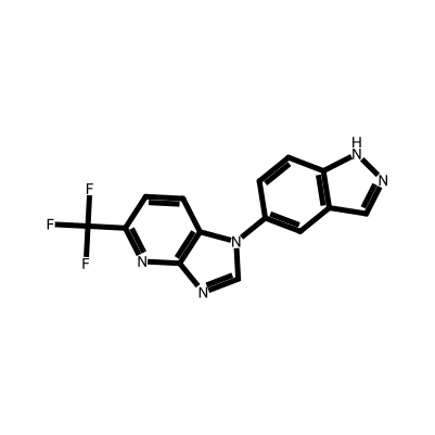 FC(F)(F)c1ccc2c(ncn2-c2ccc3[nH]ncc3c2)n1